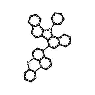 c1ccc(-n2c3c4ccccc4ccc3c3c(-c4ccc5c6c(cccc46)-c4ccccc4S5)cc4ccccc4c32)cc1